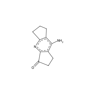 Nc1c2c(nc3c1CCC3=O)CCC2